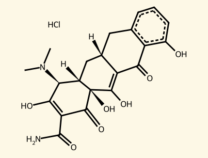 CN(C)[C@@H]1C(O)=C(C(N)=O)C(=O)[C@@]2(O)C(O)=C3C(=O)c4c(O)cccc4C[C@H]3C[C@@H]12.Cl